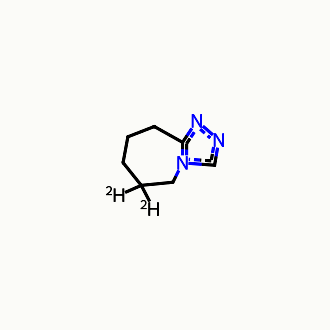 [2H]C1([2H])CCCc2nncn2C1